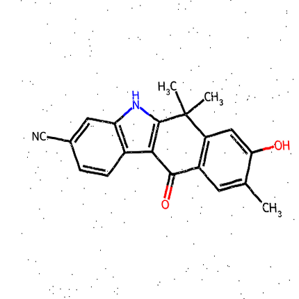 Cc1cc2c(cc1O)C(C)(C)c1[nH]c3cc(C#N)ccc3c1C2=O